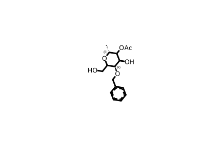 CC(=O)OC1C(O)[C@@H](OCc2ccccc2)C(CO)O[C@@H]1C